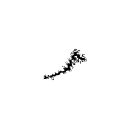 CC(C)CNC(=O)C=CC=CCCCCCCCOc1cc(C(F)(F)F)cc(C(F)(F)F)n1